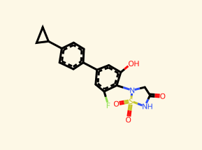 O=C1CN(c2c(O)cc(-c3ccc(C4CC4)cc3)cc2F)S(=O)(=O)N1